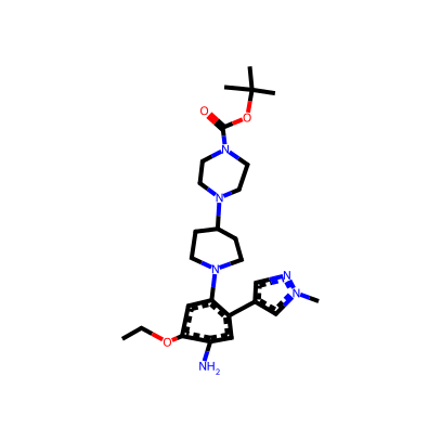 CCOc1cc(N2CCC(N3CCN(C(=O)OC(C)(C)C)CC3)CC2)c(-c2cnn(C)c2)cc1N